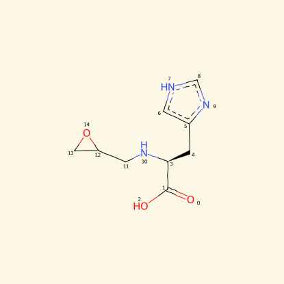 O=C(O)[C@H](Cc1c[nH]cn1)NCC1CO1